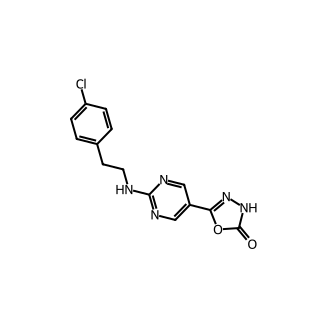 O=c1[nH]nc(-c2cnc(NCCc3ccc(Cl)cc3)nc2)o1